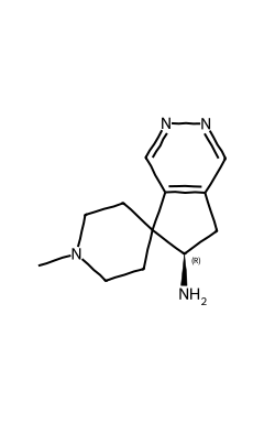 CN1CCC2(CC1)c1cnncc1C[C@H]2N